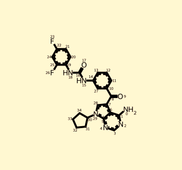 Nc1ncnc2c1c(C(=O)c1cccc(NC(=O)Nc3ccc(F)cc3F)c1)cn2C1CCCC1